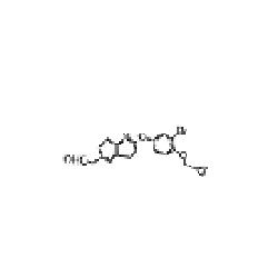 O=CCc1ccc2nc(Oc3ccc(OCC4CC4)c(Br)c3)ccc2c1